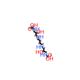 O=C(O)NCC(O)CNCCCCNCC(O)CNC(=O)O